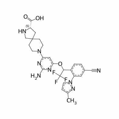 Cc1ccn(-c2cc(C#N)ccc2C(Oc2cc(N3CCC4(CC3)CN[C@H](C(=O)O)C4)nc(N)n2)C(F)(F)F)n1